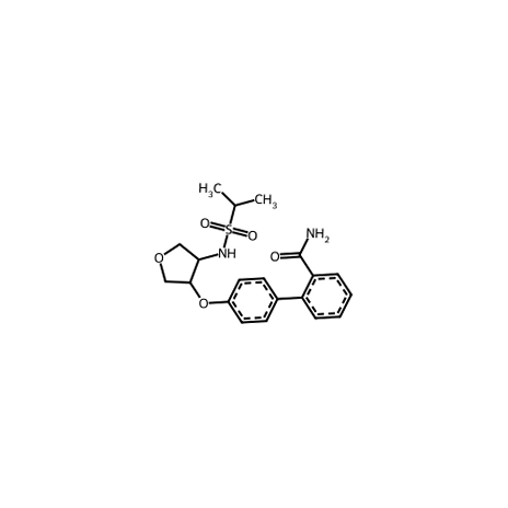 CC(C)S(=O)(=O)NC1COCC1Oc1ccc(-c2ccccc2C(N)=O)cc1